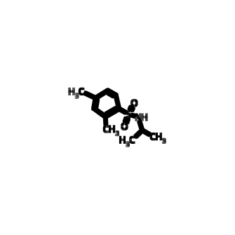 Cc1ccc(S(=O)(=O)NC(C)C)c(C)c1